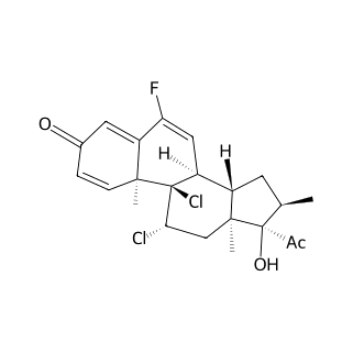 CC(=O)[C@@]1(O)[C@H](C)C[C@H]2[C@@H]3C=C(F)C4=CC(=O)C=C[C@]4(C)[C@@]3(Cl)[C@@H](Cl)C[C@@]21C